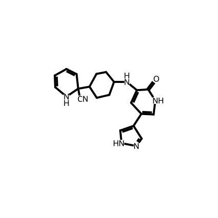 N#CC1(C2CCC(Nc3cc(-c4cn[nH]c4)c[nH]c3=O)CC2)C=CC=CN1